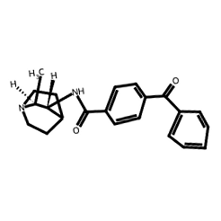 C[C@H]1[C@H](NC(=O)c2ccc(C(=O)c3ccccc3)cc2)C2CCN1CC2